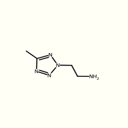 Cc1nnn(CCN)n1